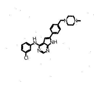 CN1CCN(Cc2ccc(-c3cc4c(Nc5cccc(Cl)c5)ncnc4[nH]3)cc2)CC1